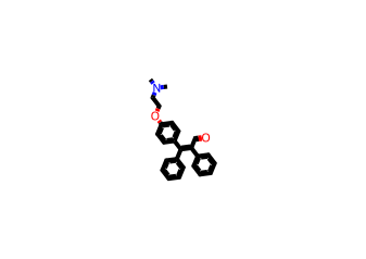 CN(C)CCOc1ccc(C(=C(C=O)c2ccccc2)c2ccccc2)cc1